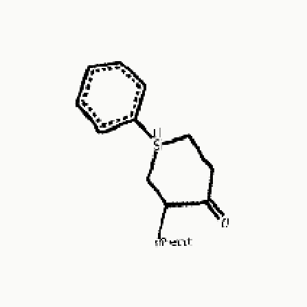 CCCCCC1C[SiH](c2ccccc2)CCC1=O